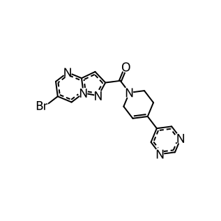 O=C(c1cc2ncc(Br)cn2n1)N1CC=C(c2cncnc2)CC1